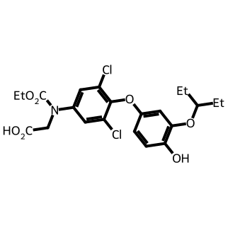 CCOC(=O)N(CC(=O)O)c1cc(Cl)c(Oc2ccc(O)c(OC(CC)CC)c2)c(Cl)c1